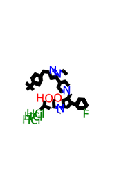 CCn1nc(Cc2ccc(C(C)(C)C)cc2)cc1C1CCN(CC2CC(N(C)[C@H](CC(C)C)C(=O)O)CC2c2cccc(F)c2)CC1.Cl.Cl.Cl